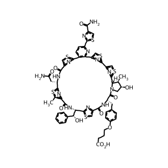 Cc1sc2nc1C(=O)N[C@@H]([C@H](O)c1ccccc1)c1nc(cs1)C(=O)N[C@@H](Cc1ccc(OCCCC(=O)O)cc1)C(=O)N1C[C@H](O)[C@H](C)[C@H]1c1nc(cs1)-c1nc(cs1)-c1nc(-c3nc(C(N)=O)cs3)ccc1-c1nc(cs1)C(=O)N[C@H]2CC(N)=O